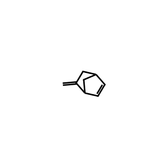 C=C1CC2C=CC1C2